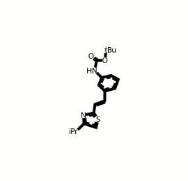 CC(C)c1csc(C=Cc2cccc(NC(=O)OC(C)(C)C)c2)n1